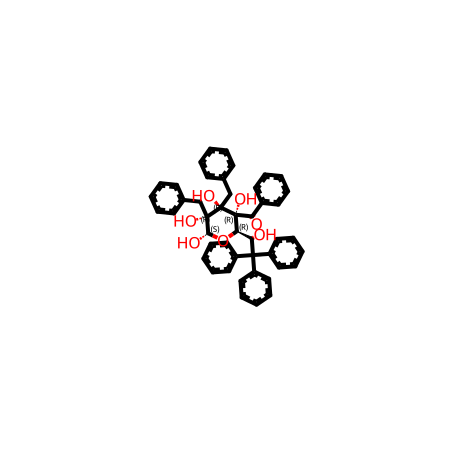 O=C(c1ccccc1)[C@@]1(O)[C@@H](C(O)C(c2ccccc2)(c2ccccc2)c2ccccc2)O[C@H](O)[C@@](O)(Cc2ccccc2)[C@]1(O)Cc1ccccc1